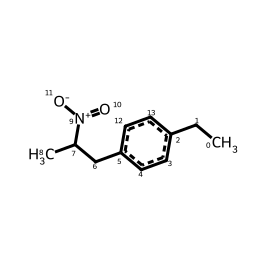 CCc1ccc(CC(C)[N+](=O)[O-])cc1